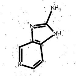 Nc1nc2cnccc2[nH]1